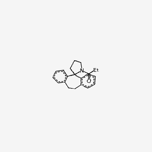 CCC(=O)N1CCCC12c1ccccc1CCc1ccccc12